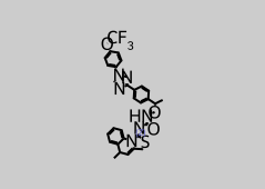 CC1C=C2CS/C(=N\C(=O)NOC(C)c3ccc(-c4ncn(-c5ccc(OC(F)(F)F)cc5)n4)cc3)N2c2ccccc21